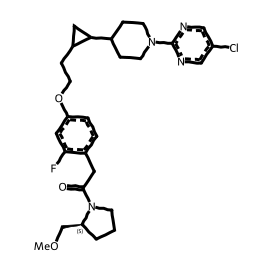 COC[C@@H]1CCCN1C(=O)Cc1ccc(OCCC2CC2C2CCN(c3ncc(Cl)cn3)CC2)cc1F